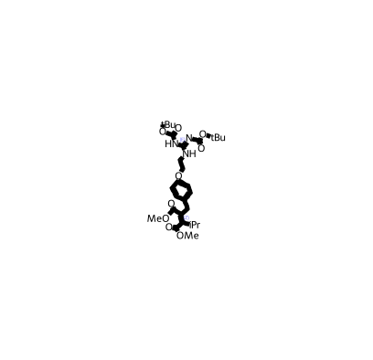 COC(=O)/C(Cc1ccc(OCCN/C(=N\C(=O)OC(C)(C)C)NC(=O)OC(C)(C)C)cc1)=C(\C(=O)OC)C(C)C